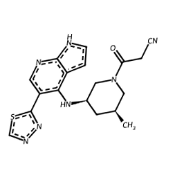 C[C@H]1C[C@@H](Nc2c(-c3nncs3)cnc3[nH]ccc23)CN(C(=O)CC#N)C1